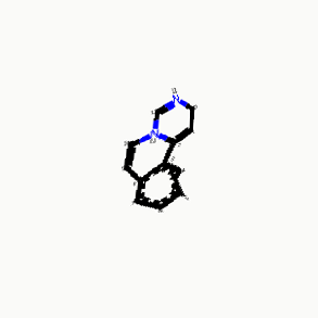 [CH]1C=C2c3ccccc3C=CN2C=N1